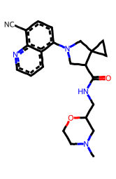 CN1CCOC(CNC(=O)C2CN(c3ccc(C#N)c4ncccc34)CC23CC3)C1